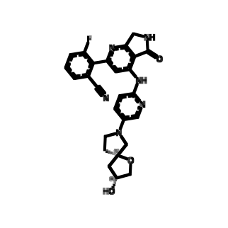 N#Cc1cccc(F)c1-c1cc(Nc2ccc(N3CC[C@]4(C[C@@H](O)CO4)C3)cn2)c2c(n1)CNC2=O